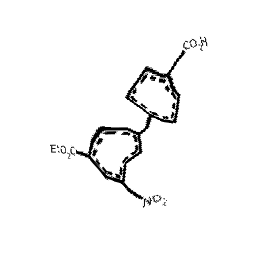 CCOC(=O)c1cc(-c2ccc(C(=O)O)cc2)cc([N+](=O)[O-])c1